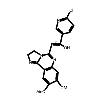 COc1cc2c(cc1OC)C1=NCCN1C(/C=C(\O)c1ccc(Cl)nc1)=N2